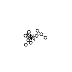 c1ccc(-c2cccc(-c3cccc4c5ccccc5n(-c5nc(-c6ccccc6)nc(-c6ccc7c8cc(-c9ccccc9)ccc8c8ccccc8c7c6)n5)c34)c2)cc1